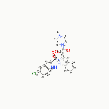 CN1CCN(C(=O)[C@H](O)[C@H](Cc2ccccc2)NC(=O)c2cc3cc(Cl)ccc3[nH]2)CC1